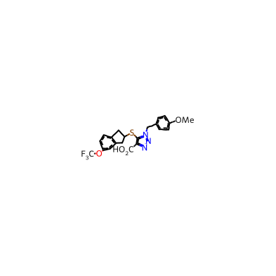 COc1ccc(Cn2nnc(C(=O)O)c2SC2Cc3ccc(OC(F)(F)F)cc3C2)cc1